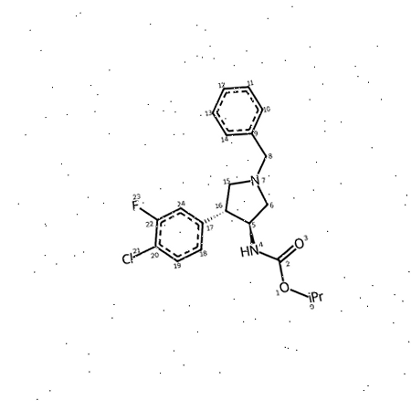 CC(C)OC(=O)N[C@@H]1CN(Cc2ccccc2)C[C@H]1c1ccc(Cl)c(F)c1